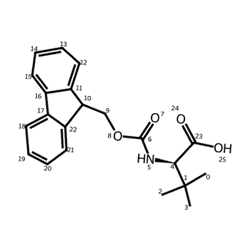 CC(C)(C)[C@@H](NC(=O)OCC1c2ccccc2-c2ccccc21)C(=O)O